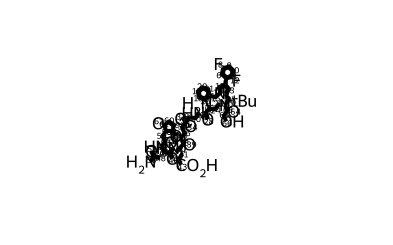 CC(C)(C)[C@H](c1cc(-c2cc(F)ccc2F)cn1Cc1ccccc1)N(CC[C@H](N)C(=O)NCCS(=O)(=O)CCNC(=O)[C@@H](CCC(=O)O)NC(=O)[C@H](CC(N)=O)NC(=O)CC1C(=O)C=CC1=O)C(=O)CO